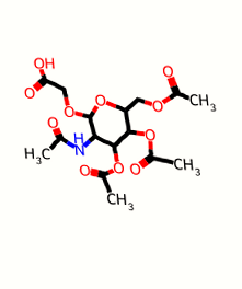 CC(=O)NC1C(OCC(=O)O)OC(COC(C)=O)C(OC(C)=O)C1OC(C)=O